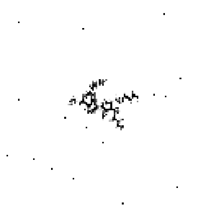 CCCCOC[C@H]1O[C@@H](c2cnc3c(OCC)nc(N=[N+]=[N-])nn23)[C@H](F)[C@@H]1OCCCC